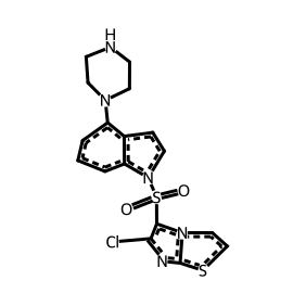 O=S(=O)(c1c(Cl)nc2sccn12)n1ccc2c(N3CCNCC3)cccc21